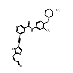 C[C@@H]1CN(Cc2ccc(NC(=O)c3cncc(C#Cc4cnc(/C=C\C=N)[nH]4)c3)cc2C(F)(F)F)CCN1